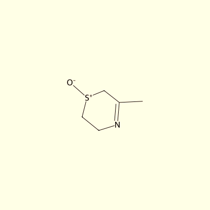 CC1=NCC[S+]([O-])C1